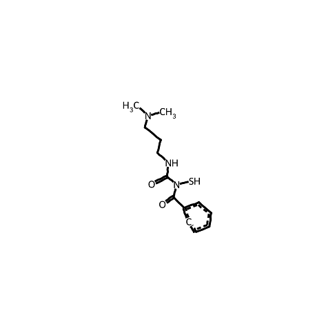 CN(C)CCCNC(=O)N(S)C(=O)c1ccccc1